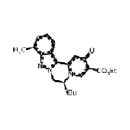 CCOC(=O)c1cn2c(cc1=O)-c1c3cccc(C)c3nn1CC2C(C)(C)C